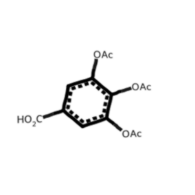 CC(=O)Oc1cc(C(=O)O)cc(OC(C)=O)c1OC(C)=O